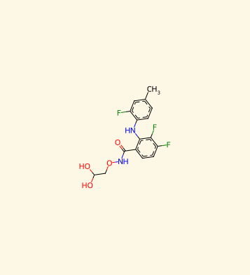 Cc1ccc(Nc2c(C(=O)NOCC(O)O)ccc(F)c2F)c(F)c1